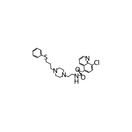 O=S(=O)(NCCN1CCN(CCCSc2ccccc2)CC1)c1ccc(Cl)c2ncccc12